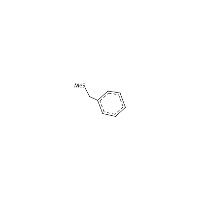 CSCc1ccccc1